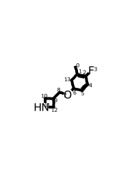 CC1=C(F)C=CC(OCC2CNC2)C1